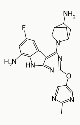 Cc1ncc(Oc2nc(N3CC4CC3CC4N)c3c(n2)[nH]c2c(N)cc(F)cc23)cn1